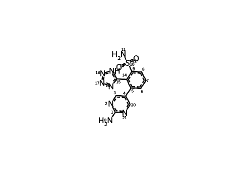 Nc1ncc(-c2cccc(S(N)(=O)=O)c2-c2nnn[nH]2)cn1